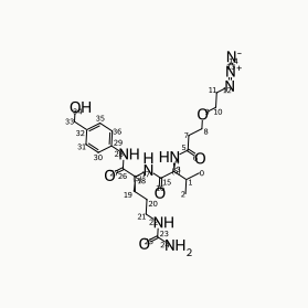 CC(C)[C@H](NC(=O)CCOCCN=[N+]=[N-])C(=O)N[C@@H](CCCNC(N)=O)C(=O)Nc1ccc(CO)cc1